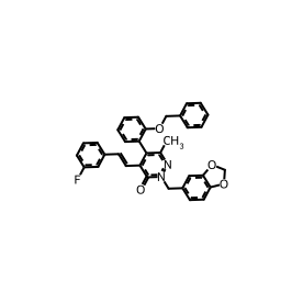 Cc1nn(Cc2ccc3c(c2)OCO3)c(=O)c(C=Cc2cccc(F)c2)c1-c1ccccc1OCc1ccccc1